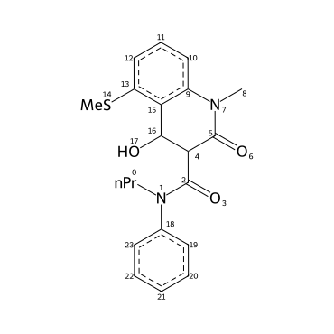 CCCN(C(=O)C1C(=O)N(C)c2cccc(SC)c2C1O)c1ccccc1